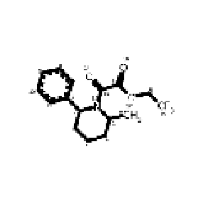 CC1CCCC(c2ccccc2)N1C(=O)C(=O)OCC(F)(F)F